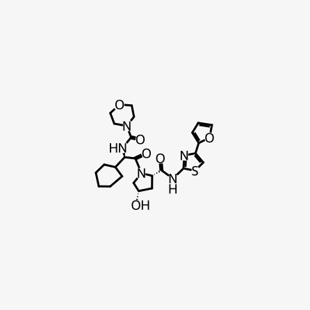 O=C(Nc1nc(-c2ccco2)cs1)[C@@H]1C[C@H](O)CN1C(=O)[C@H](NC(=O)N1CCOCC1)C1CCCCC1